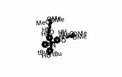 CO[Si](CCCNC(=O)Nc1ccc(-c2nc(-c3cc(C(C)(C)C)c(O)c(C(C)(C)C)c3)n(-c3ccccc3)c2-c2ccc(NC(=O)NCCC[Si](OC)(OC)OC)cc2)cc1)(OC)OC